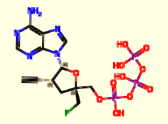 C#C[C@H]1C[C@@](CF)(COP(=O)(O)OP(=O)(O)OP(=O)(O)O)O[C@H]1n1cnc2c(N)ncnc21